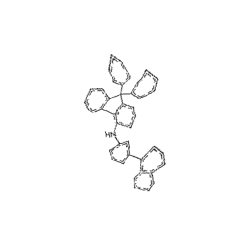 c1ccc(C2(c3ccccc3)c3ccccc3-c3c(Nc4cccc(-c5cccc6ccccc56)c4)cccc32)cc1